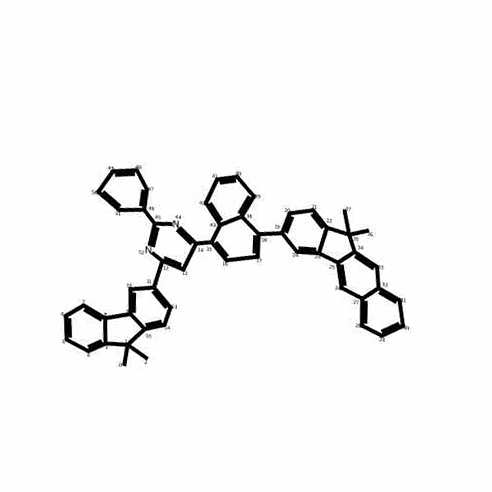 CC1(C)c2ccccc2-c2cc(-c3cc(-c4ccc(-c5ccc6c(c5)-c5cc7ccccc7cc5C6(C)C)c5ccccc45)nc(-c4ccccc4)n3)ccc21